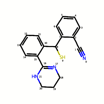 N#Cc1ccccc1C(S)c1ccccc1C1=NCCCN1